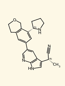 C[C@@H](C#N)c1c[nH]c2ncc(-c3cc4c(c([C@@H]5CCCN5)c3)COCC4)cc12